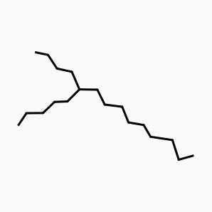 CCCCCCCCCC(CCCC)CCCCC